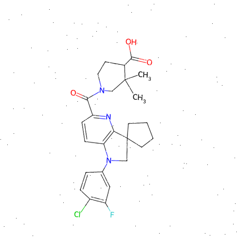 CC1(C)CN(C(=O)c2ccc3c(n2)C2(CCCC2)CN3c2ccc(Cl)c(F)c2)CCC1C(=O)O